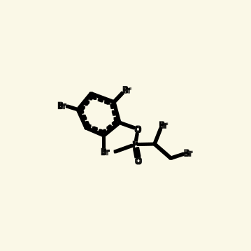 CP(=O)(Oc1c(Br)cc(Br)cc1Br)C(Br)CBr